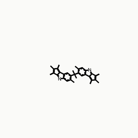 CC1=C(C)C(C)=C2C1=Nc1cc(C)c(C(C)(C)c3cc4c(cc3C)N=C3C(C)=C(C)C(C)=C34)cc12